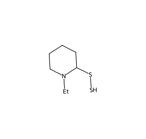 CCN1CCCCC1SS